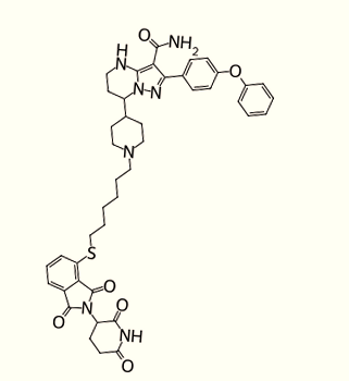 NC(=O)c1c(-c2ccc(Oc3ccccc3)cc2)nn2c1NCCC2C1CCN(CCCCCCSc2cccc3c2C(=O)N(C2CCC(=O)NC2=O)C3=O)CC1